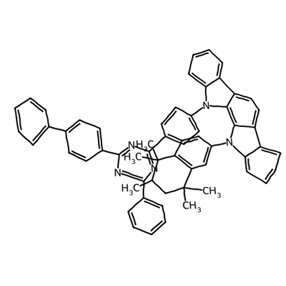 CC1CC(C)(C)c2cc(-n3c4ccccc4c4ccc5c6ccccc6n(-c6ccc(-c7nc(-c8ccccc8)nc(-c8ccc(-c9ccccc9)cc8)n7)cc6)c5c43)ccc2C1(C)C